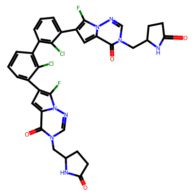 O=C1CCC(Cn2cnn3c(F)c(-c4cccc(-c5cccc(-c6cc7c(=O)n(CC8CCC(=O)N8)cnn7c6F)c5Cl)c4Cl)cc3c2=O)N1